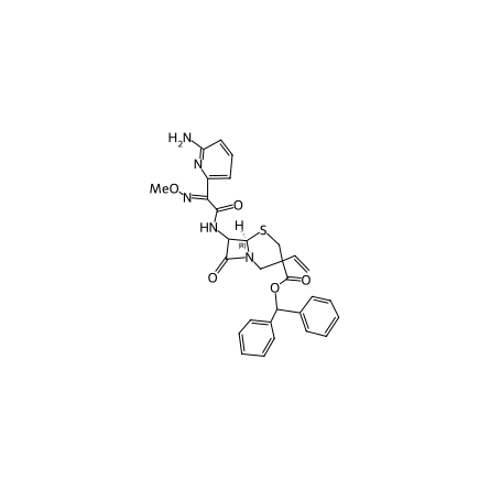 C=CC1(C(=O)OC(c2ccccc2)c2ccccc2)CS[C@@H]2C(NC(=O)C(=NOC)c3cccc(N)n3)C(=O)N2C1